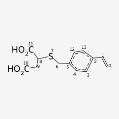 C=Cc1ccc(CSC(CC(=O)O)C(=O)O)cc1